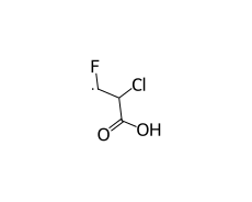 O=C(O)C(Cl)[CH]F